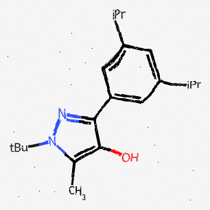 Cc1c(O)c(-c2cc(C(C)C)cc(C(C)C)c2)nn1C(C)(C)C